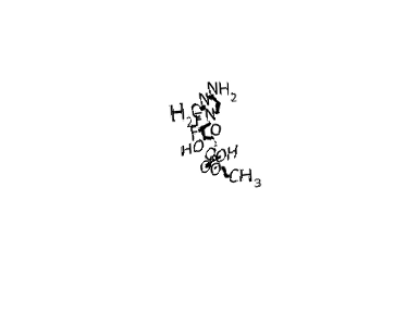 C=C1N=C(N)C=CN1[C@@H]1O[C@H](COP(=O)(O)OCCC)[C@H](O)C1(F)F